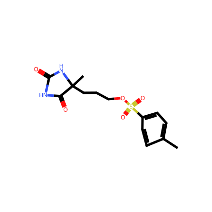 Cc1ccc(S(=O)(=O)OCCCC2(C)NC(=O)NC2=O)cc1